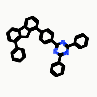 c1ccc(-c2nc(-c3ccccc3)nc(-c3ccc(-c4cccc5c4Cc4c(-c6ccccc6)cccc4-5)cc3)n2)cc1